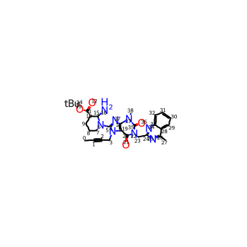 CC#CCn1c(N2CCC[C@@H](C(=O)OC(C)(C)C)C2N)nc2c1c(=O)n(Cc1nc(C)c3ccccc3n1)c(=O)n2C